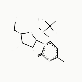 CC(C)(C)[Si](C)(C)[C@@]1(n2ccc(N)nc2=O)O[C@H](CO)[C@@H](O)[C@H]1O